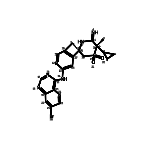 C[C@]1(C2CC2)C(=N)N[C@@]2(Cc3cnc(Nc4ncnc5cc(Br)cnc45)cc32)CS1(=O)=O